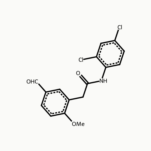 COc1ccc(C=O)cc1CC(=O)Nc1ccc(Cl)cc1Cl